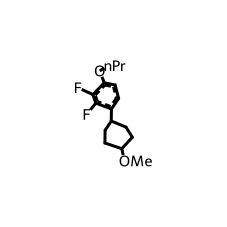 CCCOc1ccc(C2CCC(OC)CC2)c(F)c1F